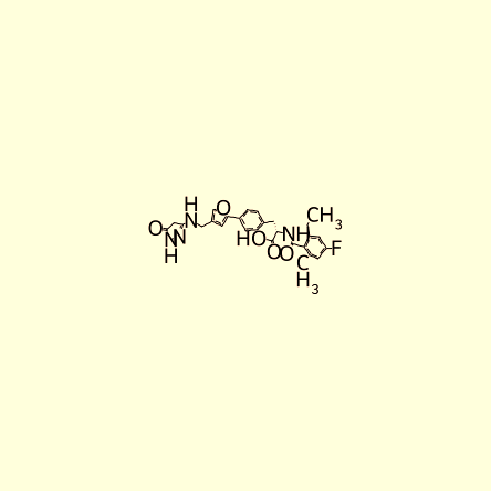 CCc1cc(F)cc(C)c1C(=O)N[C@@H](Cc1ccc(-c2cc(CNC3=NNC(=O)C3)co2)cc1)C(=O)O